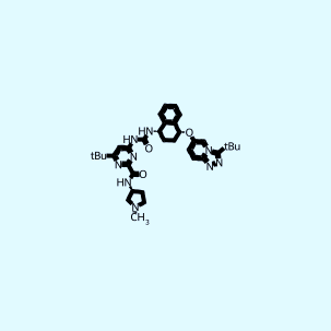 CN1CC[C@H](NC(=O)c2nc(NC(=O)N[C@H]3CC[C@@H](Oc4ccc5nnc(C(C)(C)C)n5c4)c4ccccc43)cc(C(C)(C)C)n2)C1